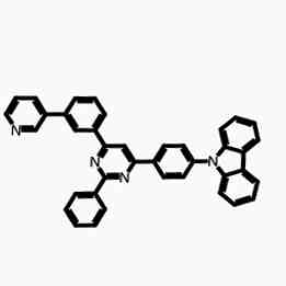 c1ccc(-c2nc(-c3ccc(-n4c5ccccc5c5ccccc54)cc3)cc(-c3cccc(-c4cccnc4)c3)n2)cc1